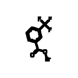 O=C(OBr)c1cccc(C(F)(F)F)c1